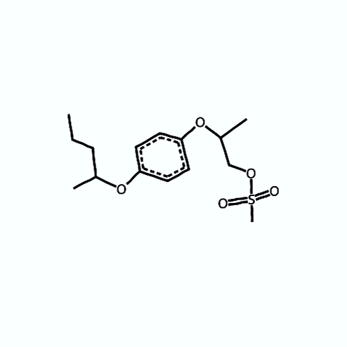 CCCC(C)Oc1ccc(OC(C)COS(C)(=O)=O)cc1